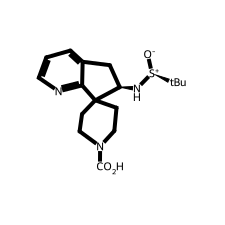 CC(C)(C)[S@+]([O-])N[C@@H]1Cc2cccnc2C12CCN(C(=O)O)CC2